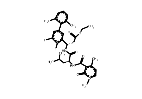 CCOC(=O)C[C@H](NC(=O)[C@H](CC(C)C)NC(=O)c1c(C)ccn(C)c1=O)c1cc(-c2c(C)cccc2C)cc(F)c1F